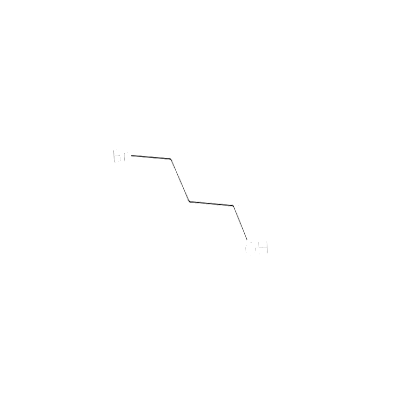 O[CH]CCBr